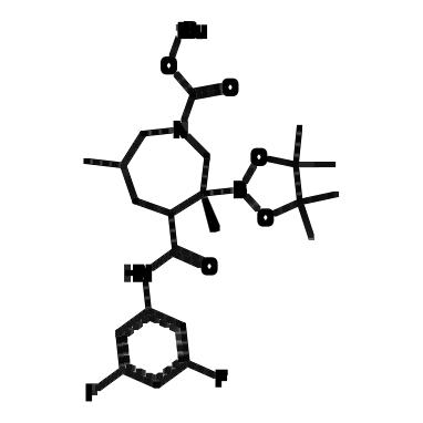 CC1CC(C(=O)Nc2cc(F)cc(F)c2)[C@@](C)(B2OC(C)(C)C(C)(C)O2)CN(C(=O)OC(C)(C)C)C1